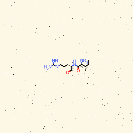 CC[C@H](C)[C@H](N)C(=O)N[C@H]([C]=O)CCCNC(=N)N